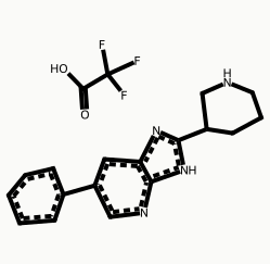 O=C(O)C(F)(F)F.c1ccc(-c2cnc3[nH]c(C4CCCNC4)nc3c2)cc1